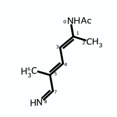 CC(=O)N/C(C)=C/C=C(\C)C=N